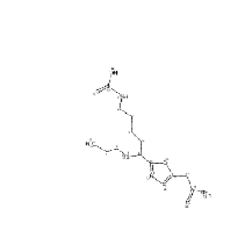 CCCNC(CCCCNC(=O)O)c1nnc(CC(N)=O)o1